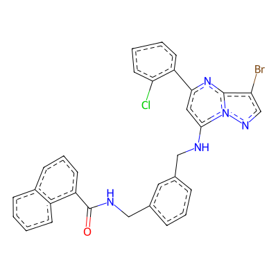 O=C(NCc1cccc(CNc2cc(-c3ccccc3Cl)nc3c(Br)cnn23)c1)c1cccc2ccccc12